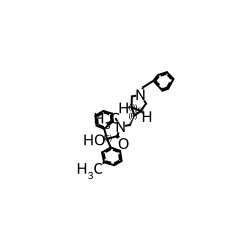 Cc1cccc([C@](O)(C(=O)N(C)C[C@H]2[C@@H]3CN(Cc4ccccc4)C[C@@H]32)c2ccccc2)c1